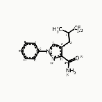 CC(Cc1cn(-c2ccccc2)nc1C(N)=O)C(F)(F)F